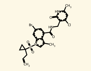 C=CCC1(S(=O)(=O)n2cc(C)c3c(C(=O)NCc4c(Cl)cc(C)[nH]c4=O)cc(Br)cc32)CC1